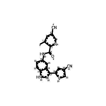 Cc1cc(C#N)cnc1C(=O)Nc1ccc2[nH]nc(-c3cc(C#N)cs3)c2c1